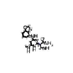 CNC1=CC(Nc2cccc3ocnc23)=N/C(=C(/C=N)C(N)=O)N1